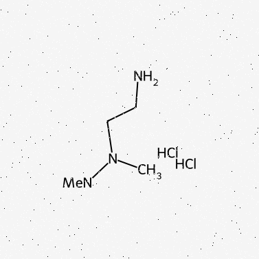 CNN(C)CCN.Cl.Cl